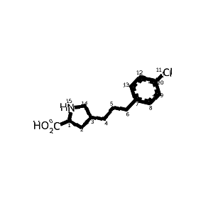 O=C(O)C1CC(CCCc2ccc(Cl)cc2)CN1